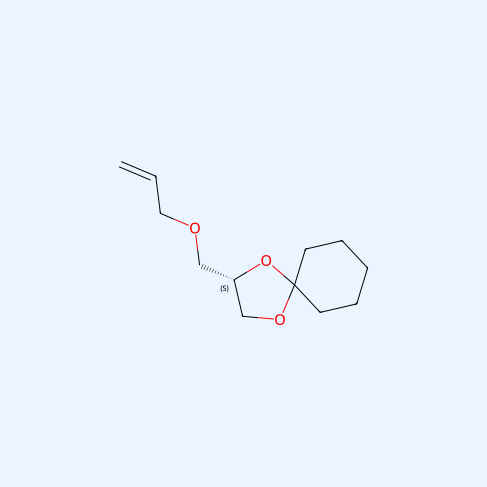 C=CCOC[C@H]1COC2(CCCCC2)O1